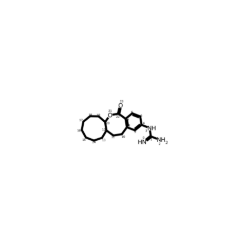 N=C(N)Nc1ccc2c(c1)CCC1CCCCCCCC1OC2=O